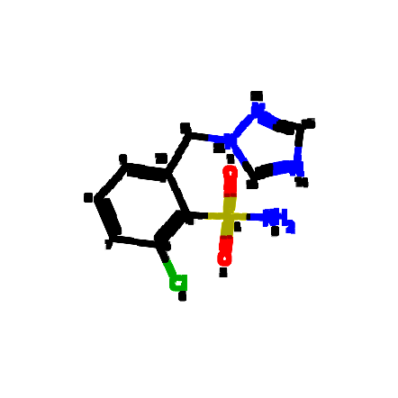 NS(=O)(=O)c1c(Cl)cccc1Cn1cncn1